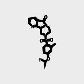 Cc1cc(OC(F)F)ccc1S(=O)(=O)N1CCN2C(=O)c3cccnc3C2C1